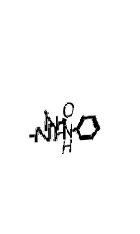 CNN(C)C(=O)Nc1ccccc1